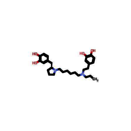 CCCN(CCCCCCN1CCC[C@H]1Cc1ccc(O)c(O)c1)CCc1ccc(O)c(O)c1